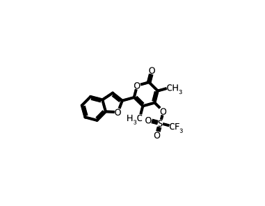 Cc1c(-c2cc3ccccc3o2)oc(=O)c(C)c1OS(=O)(=O)C(F)(F)F